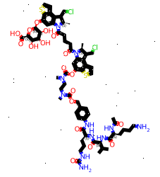 CC(=O)N[C@@H](CCCCN)C(=O)N[C@H](C(=O)N[C@@H](CCCNC(N)=O)C(=O)Nc1ccc(COC(=O)N(C)CCN(C)C(=O)Oc2cc3c(c4ccsc24)C(CCl)[C@H](C)N3C(=O)CCCC(=O)N2c3cc(O[C@@H]4O[C@H](C(=O)O)[C@@H](O)[C@H](O)[C@H]4O)c4sccc4c3C(CCl)[C@@H]2C)cc1)C(C)C